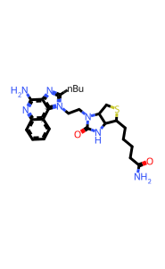 CCCCc1nc2c(N)nc3ccccc3c2n1CCN1C(=O)NC2C(CCCCC(N)=O)SCC21